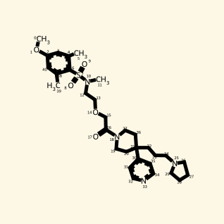 COc1cc(C)c(S(=O)(=O)N(C)CCOCC(=O)N2CCC(CCCN3CCCC3)(c3ccncc3)CC2)c(C)c1